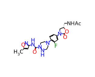 CC(=O)NC[C@H]1CN(c2ccc(N3CCNN(C(=O)Nc4cc(C)on4)CC3)c(F)c2)C(=O)O1